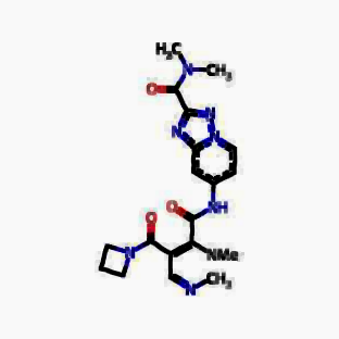 C/N=C\C(C(=O)N1CCC1)=C(/NC)C(=O)Nc1ccn2nc(C(=O)N(C)C)nc2c1